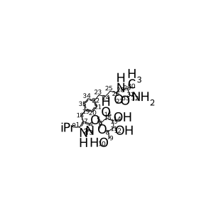 CC(C)c1[nH]nc(O[C@@H]2O[C@H](CO)[C@@H](O)[C@H](O)[C@H]2O)c1Cc1ccc(CCCC(=O)N[C@@H](C)C(N)=O)cc1